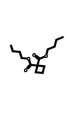 CCCCOC(=O)C1(C(=O)OCCCC)CCC1